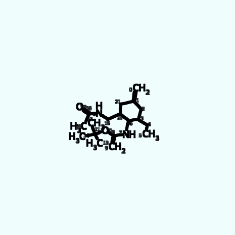 C=C1CC(CC)C(NC(=C)OC(C)(C)C)C(CNC(C)=O)C1